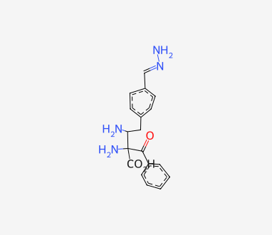 NN=Cc1ccc(CC(N)C(N)(C(=O)O)C(=O)c2ccccc2)cc1